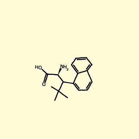 CC(C)(C)C(c1cccc2ccccc12)[C@H](N)C(=O)O